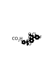 CC(Oc1ccc2c(-c3ccc(F)cc3Cl)cc(=O)oc2c1)C(=O)N1CC[C@H](CC(=O)O)C1